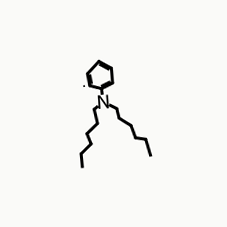 CCCCCCN(CCCCCC)c1[c]cccc1